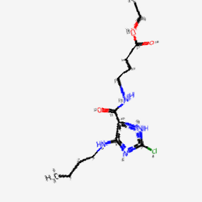 CCCCNc1nc(Cl)[nH]c1C(=O)NCCCC(=O)OCC